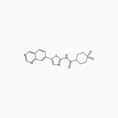 O=C(Nc1ncc(-c2ccc3cncnc3c2)s1)C1CCS(=O)(=O)CC1